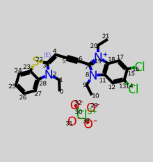 CCN1/C(=C\C#Cc2n(CC)c3cc(Cl)c(Cl)cc3[n+]2CC)Sc2ccccc21.[O-][Cl+3]([O-])([O-])[O-]